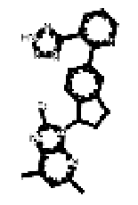 CCc1nc2c(C)cc(C)nc2n1C1CCc2cc(-c3ncccc3-c3nn[nH]n3)ccc21